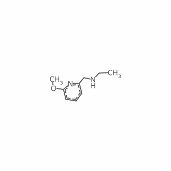 CCNCc1cccc(OC)n1